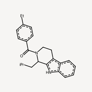 CCc1ccc(C(=O)N2CCc3c([nH]c4ccccc34)C2CC(C)C)cc1